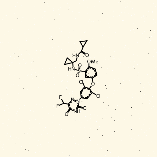 COc1ccc(Oc2c(Cl)cc(-n3nc(C(F)F)c(=O)[nH]c3=O)cc2Cl)cc1S(=O)(=O)NC1(CNC(=O)C2CC2)CC1